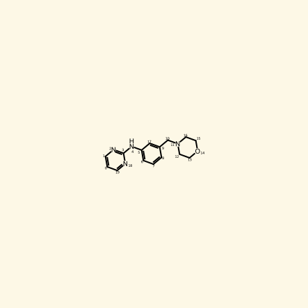 c1cnc(Nc2cccc(CN3CCOCC3)c2)nc1